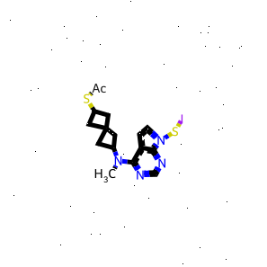 CC(=O)SC1CC2(C1)CC(N(C)c1ncnc3c1ccn3SI)C2